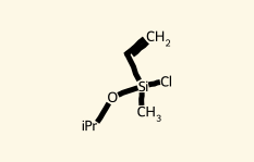 C=C[Si](C)(Cl)OC(C)C